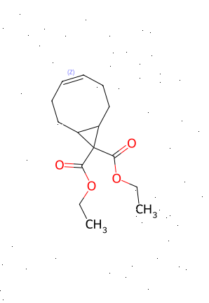 CCOC(=O)C1(C(=O)OCC)C2CC/C=C\CCC21